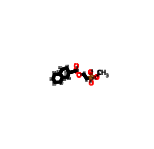 COS(=O)(=O)CCOC(=O)C1CCC2CCCCC2C1